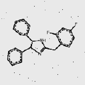 Fc1ccc(CC2=NC(c3ccccc3)C(c3ccccc3)N2)c(F)c1